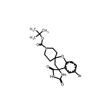 CC(C)(C)OC(=O)N1CCC2(CC1)CC1(NC(=O)NC1=O)c1cc(Br)ccc1O2